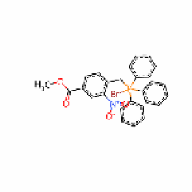 COC(=O)c1ccc(CP(Br)(c2ccccc2)(c2ccccc2)c2ccccc2)c([N+](=O)[O-])c1